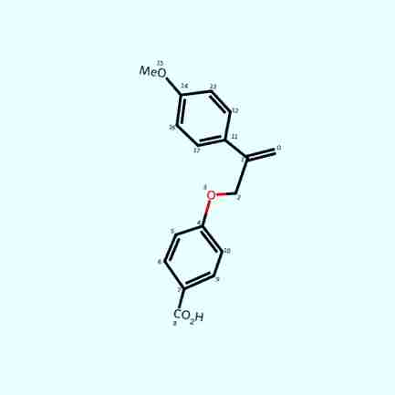 C=C(COc1ccc(C(=O)O)cc1)c1ccc(OC)cc1